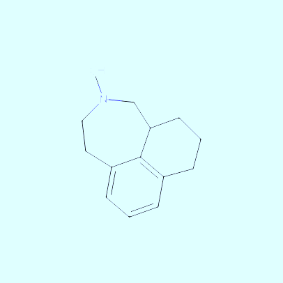 CN1CCc2cccc3c2C(CCC3)C1